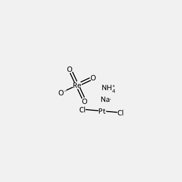 [Cl][Pt][Cl].[NH4+].[Na].[O]=[Re](=[O])(=[O])[O-]